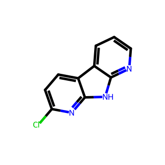 Clc1ccc2c(n1)[nH]c1ncccc12